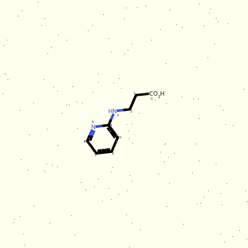 O=C(O)CCNc1ccccn1